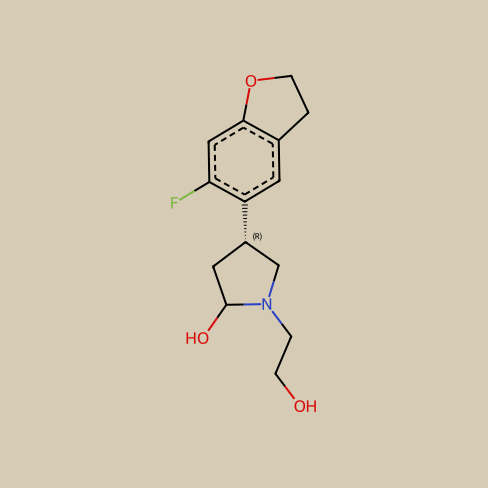 OCCN1C[C@@H](c2cc3c(cc2F)OCC3)CC1O